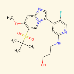 COc1cc2ncc(-c3cc(NCCCO)ncc3F)n2cc1S(=O)(=O)C(C)(C)C